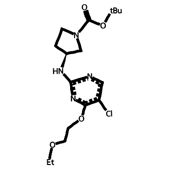 CCOCCOc1nc(N[C@H]2CCN(C(=O)OC(C)(C)C)C2)ncc1Cl